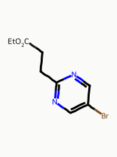 CCOC(=O)CCc1ncc(Br)cn1